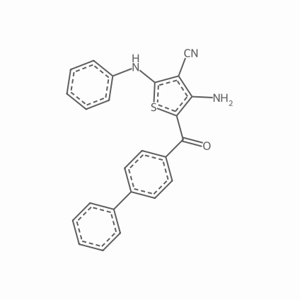 N#Cc1c(Nc2ccccc2)sc(C(=O)c2ccc(-c3ccccc3)cc2)c1N